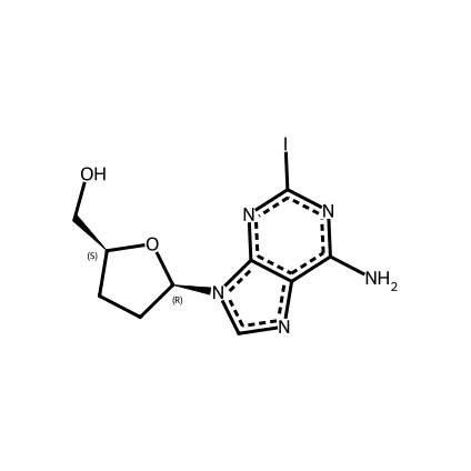 Nc1nc(I)nc2c1ncn2[C@H]1CC[C@@H](CO)O1